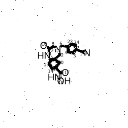 N#Cc1ccc(CN2CC(=O)Nc3ccc(C(=O)NO)cc3C2)cc1